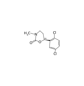 CN1CC[C@@H](c2cc(Cl)ccc2Cl)OC1=O